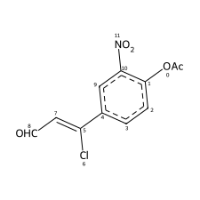 CC(=O)Oc1ccc(C(Cl)=CC=O)cc1[N+](=O)[O-]